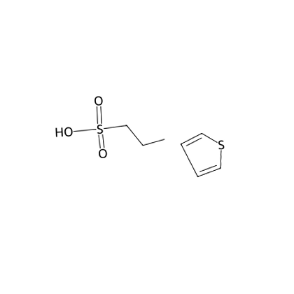 CCCS(=O)(=O)O.c1ccsc1